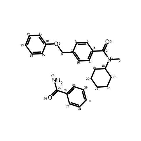 CN(C(=O)c1ccc(COc2ccccc2)cc1)C1CCCCC1.NC(=O)c1ccccc1